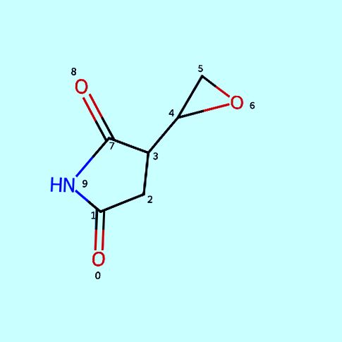 O=C1CC(C2CO2)C(=O)N1